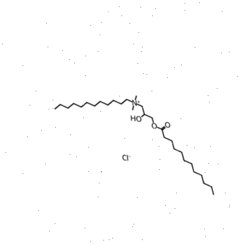 CCCCCCCCCCCC[N+](C)(C)CC(O)COC(=O)CCCCCCCCCCC.[Cl-]